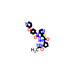 C=CC(=O)N[C@H]1CCC[C@H]1NC(=O)c1sc2nccc3c2c1NC(=O)N3c1ccc(Oc2cccnc2)cc1